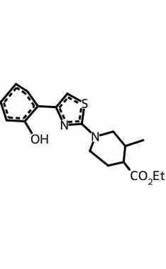 CCOC(=O)C1CCN(c2nc(-c3ccccc3O)cs2)CC1C